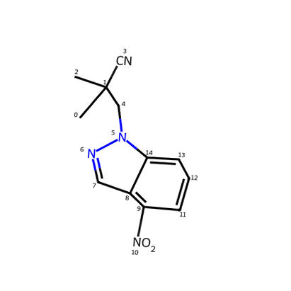 CC(C)(C#N)Cn1ncc2c([N+](=O)[O-])cccc21